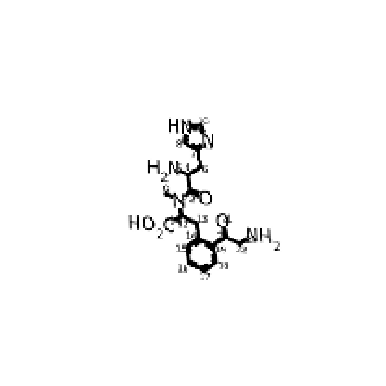 CN(C(=O)C(N)Cc1c[nH]cn1)C(Cc1ccccc1C(=O)CN)C(=O)O